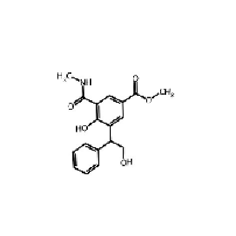 CNC(=O)c1cc(C(=O)OC)cc(C(CO)c2ccccc2)c1O